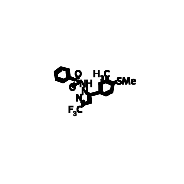 CSc1ccc(-c2cc(C(F)(F)F)nn2NS(=O)(=O)c2ccccc2)cc1C